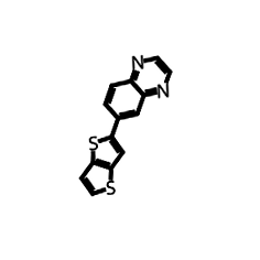 c1cnc2cc(-c3cc4sccc4s3)ccc2n1